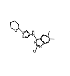 Cc1cc2nc(Cl)nc(Nc3cnn(C4CCCCO4)c3)c2cc1C